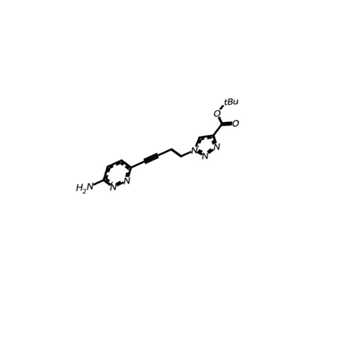 CC(C)(C)OC(=O)c1cn(CCC#Cc2ccc(N)nn2)nn1